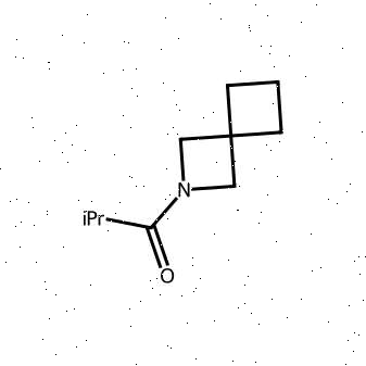 CC(C)C(=O)N1CC2(CCC2)C1